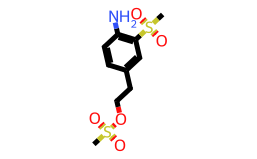 CS(=O)(=O)OCCc1ccc(N)c(S(C)(=O)=O)c1